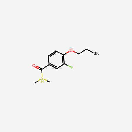 C[SH](C)C(=O)c1ccc(OCCC(C)(C)C)c(F)c1